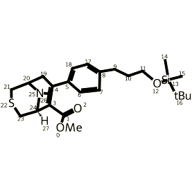 COC(=O)C1=C(c2ccc(CCCO[Si](C)(C)C(C)(C)C)cc2)CC2CSC[C@H]1N2C